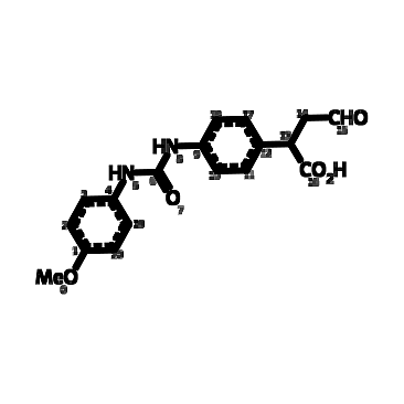 COc1ccc(NC(=O)Nc2ccc(C(CC=O)C(=O)O)cc2)cc1